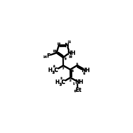 CCN/C(C)=C(\C=N)C(C)c1[nH]ncc1F